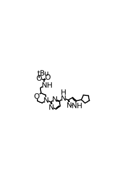 CC(C)(C)OC(=O)NCC1CN(c2nccc(Nc3cc(C4CCCC4)[nH]n3)n2)CCO1